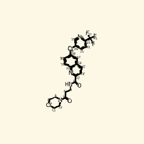 O=C(NCCC(=O)N1CCOCC1)c1ccc2cc(Oc3ccc(C(F)(F)F)nc3)ccc2n1